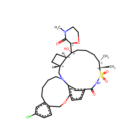 C[C@@H]1[C@@H](C)CCC[C@](O)([C@@H]2OCCN(C)C2=O)[C@@H]2CC[C@H]2CN2CCCCc3cc(Cl)ccc3COc3ccc(cc32)C(=O)NS1(=O)=O